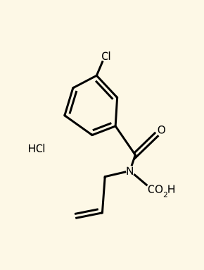 C=CCN(C(=O)O)C(=O)c1cccc(Cl)c1.Cl